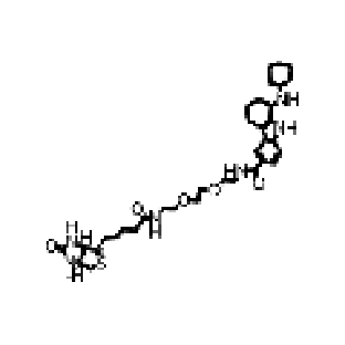 O=C(CCCC[C@H]1SC[C@H]2NC(=O)N[C@H]21)NCCOCCOCCNC(=O)c1ccc2[nH]c3c(c2c1)CCCC3NC1CCCCC1